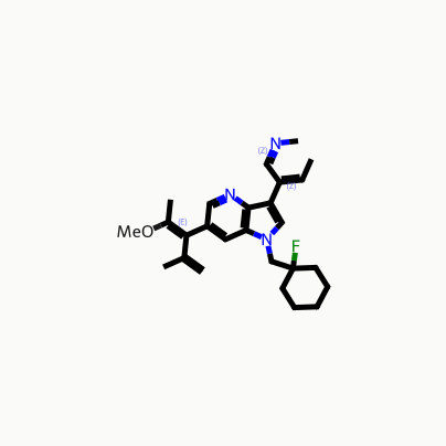 C=C(C)/C(=C(/C)OC)c1cnc2c(C(/C=N\C)=C/C)cn(CC3(F)CCCCC3)c2c1